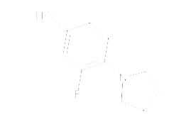 Oc1ccc(N2CCCC2)c(F)c1